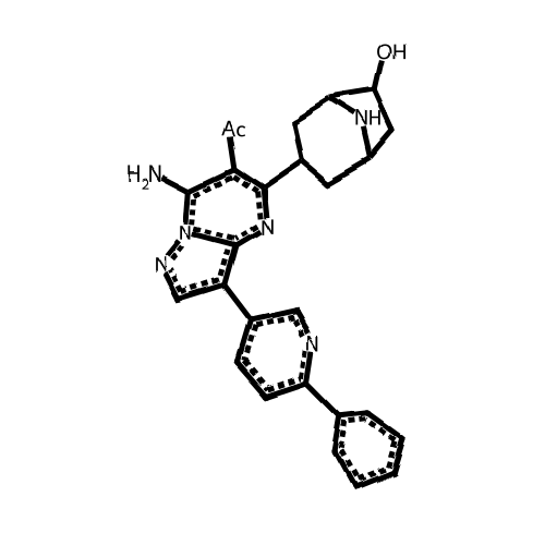 CC(=O)c1c(C2CC3CC(O)C(C2)N3)nc2c(-c3ccc(-c4ccccc4)nc3)cnn2c1N